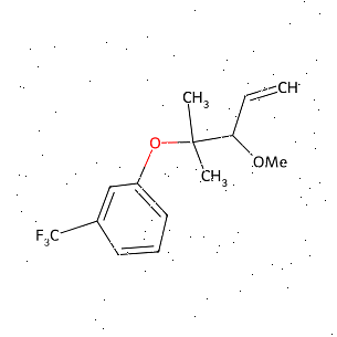 [CH]=CC(OC)C(C)(C)Oc1cccc(C(F)(F)F)c1